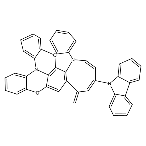 C=c1cc(-n2c3ccccc3c3ccccc32)ccn(-c2ccccc2)c2c3oc4ccccc4n4c5ccccc5oc(cc12)c3-4